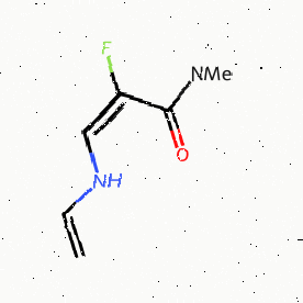 C=CN/C=C(/F)C(=O)NC